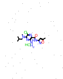 Cc1cc(NC(=O)c2nc(Cl)c(N(C)CC(C)C)nc2N)no1.Cl